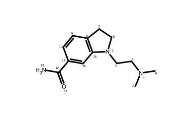 CN(C)CCN1CCc2ccc(C(N)=O)cc21